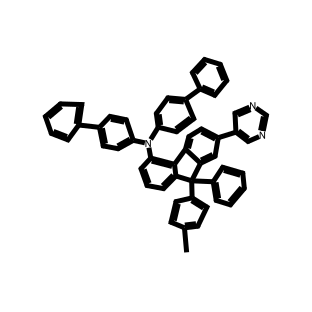 Cc1ccc(C2(c3ccccc3)c3cc(-c4cncnc4)ccc3-c3c(N(c4ccc(-c5ccccc5)cc4)c4ccc(-c5ccccc5)cc4)cccc32)cc1